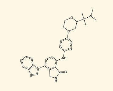 CN(C)C(C)(C)C1CN(c2ccc(Nc3ccc(-c4cnc5cnccn45)c4c3C(=O)NC4)nc2)CCO1